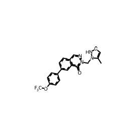 CC1=CONN1Cn1ncc2ccc(-c3ccc(OC(F)(F)F)cc3)cc2c1=O